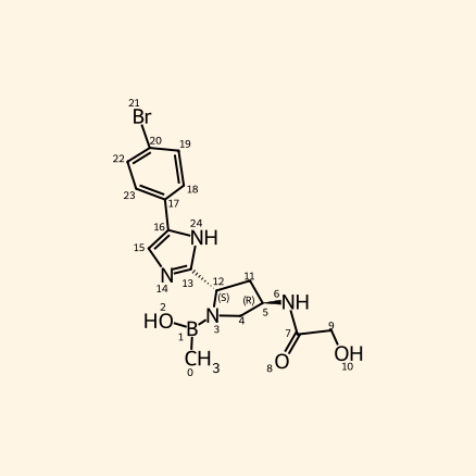 CB(O)N1C[C@H](NC(=O)CO)C[C@H]1c1ncc(-c2ccc(Br)cc2)[nH]1